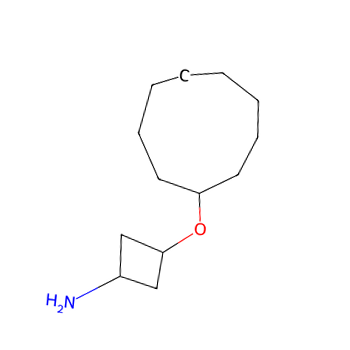 NC1CC(OC2CCCCCCCC2)C1